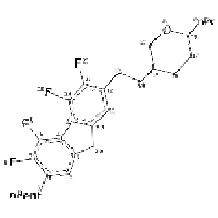 CCCCCc1cc2c(c(F)c1F)-c1c(cc(CCC3CCC(CCC)OC3)c(F)c1F)C2